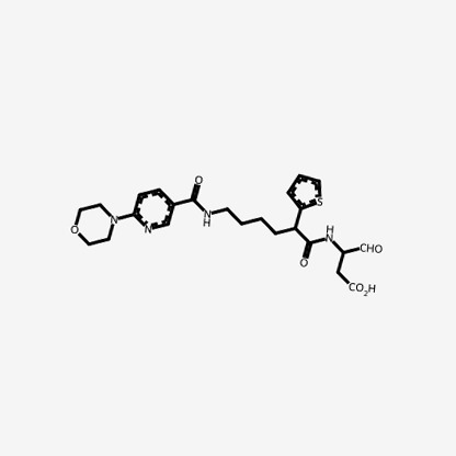 O=CC(CC(=O)O)NC(=O)C(CCCCNC(=O)c1ccc(N2CCOCC2)nc1)c1cccs1